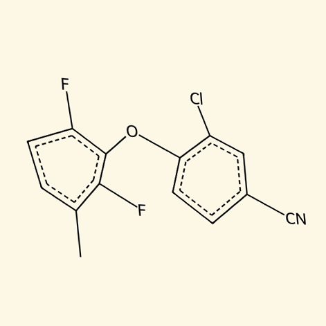 Cc1ccc(F)c(Oc2ccc(C#N)cc2Cl)c1F